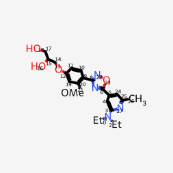 CCN(CC)c1cc(-c2nc(-c3ccc(OCC(O)CO)cc3OC)no2)cc(C)n1